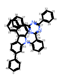 c1ccc(-c2ccc3c4c5ccccc5ccc4n(-c4ccccc4-c4nc(-c5ccccc5)nc(-c5ccccc5)n4)c3c2)cc1